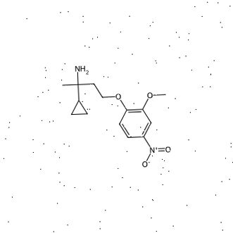 COc1cc([N+](=O)[O-])ccc1OCCC(C)(N)C1CC1